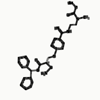 CN(CCNC(=N)c1ccc(OC[C@H](ON)C(=O)OC(c2ccccc2)c2ccccc2)cc1)C(=O)OC(C)(C)C